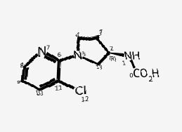 O=C(O)N[C@@H]1CCN(c2ncccc2Cl)C1